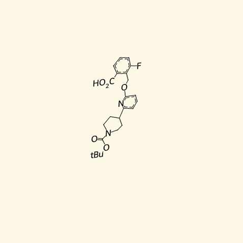 CC(C)(C)OC(=O)N1CCC(c2cccc(OCc3c(F)cccc3C(=O)O)n2)CC1